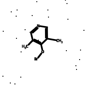 Cc1[c]ncc(C)c1OBr